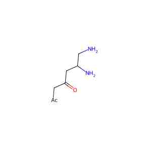 CC(=O)CC(=O)CC(N)CN